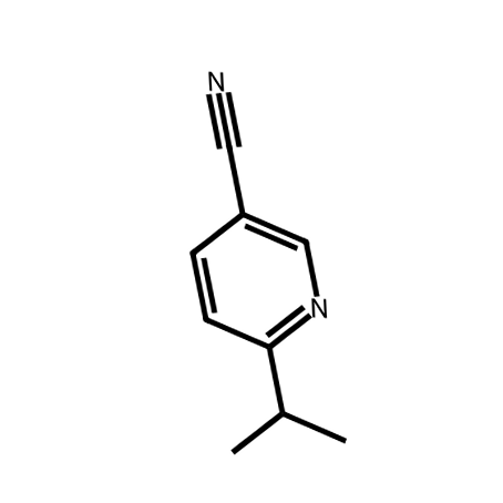 CC(C)c1ccc(C#N)cn1